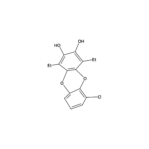 CCc1c(O)c(O)c(CC)c2c1Oc1cccc(Cl)c1O2